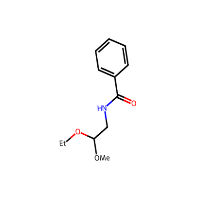 CCOC(CNC(=O)c1ccccc1)OC